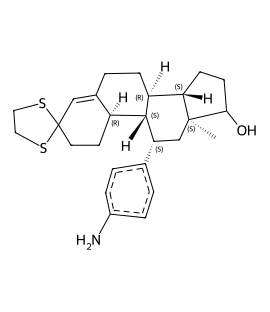 C[C@]12C[C@H](c3ccc(N)cc3)[C@H]3[C@@H](CCC4=CC5(CC[C@@H]43)SCCS5)[C@@H]1CCC2O